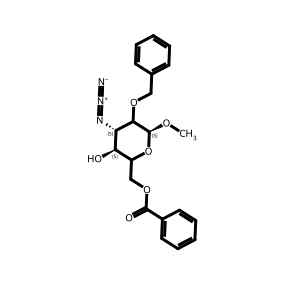 CO[C@H]1OC(COC(=O)c2ccccc2)[C@@H](O)[C@H](N=[N+]=[N-])C1OCc1ccccc1